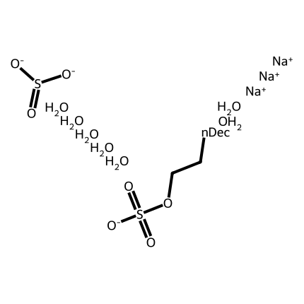 CCCCCCCCCCCCOS(=O)(=O)[O-].O.O.O.O.O.O.O.O=S([O-])[O-].[Na+].[Na+].[Na+]